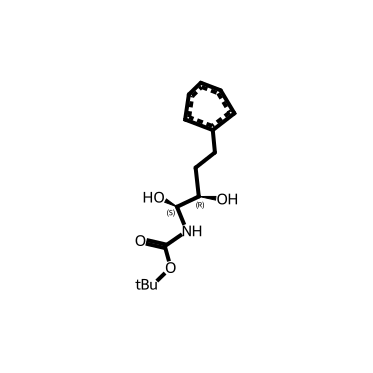 CC(C)(C)OC(=O)N[C@@H](O)[C@H](O)CCc1ccccc1